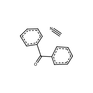 C#N.O=C(c1ccccc1)c1ccccc1